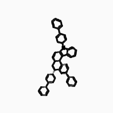 C1=CCC(C2=CC[C@@H](C3CC4C=Cc5c(c6ccccc6n5C5C=CC(c6ccccc6)=CC5)C4c4ccc(-c5ccccc5)cc43)C=C2)C=C1